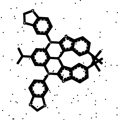 CC(C)c1cc2c3c(c1)N(c1ccc4c(c1)OCO4)c1oc4ccc(C(C)(C)C)cc4c1B3c1c(oc3ccc(C(C)(C)C)cc13)N2c1ccc2c(c1)OCO2